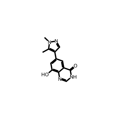 Cc1c(-c2cc(O)c3nc[nH]c(=O)c3c2)cnn1C